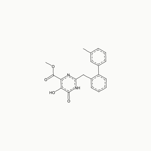 COC(=O)c1nc(Cc2ccccc2-c2cccc(C)c2)[nH]c(=O)c1O